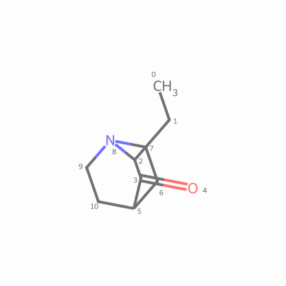 CCC1C(=O)C2CCN1CC2